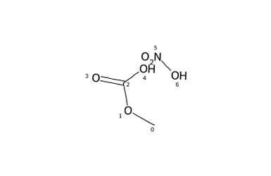 COC(=O)O.O=[N+]([O-])O